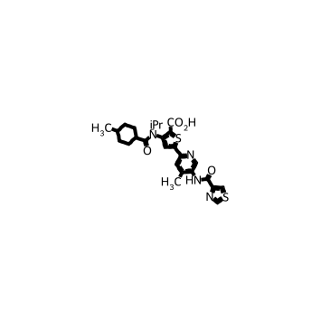 Cc1cc(-c2cc(N(C(=O)C3CCC(C)CC3)C(C)C)c(C(=O)O)s2)ncc1NC(=O)c1cscn1